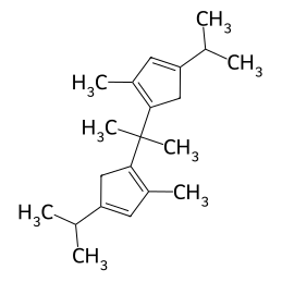 CC1=C(C(C)(C)C2=C(C)C=C(C(C)C)C2)CC(C(C)C)=C1